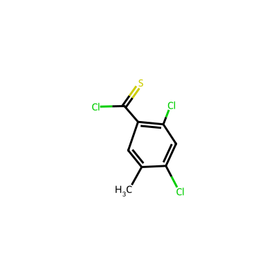 Cc1cc(C(=S)Cl)c(Cl)cc1Cl